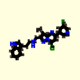 CC(C)c1c(CNCCc2c[nH]c3ccccc23)nn2c(Cl)cc(-c3cncc(F)c3)nc12